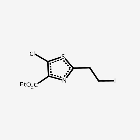 CCOC(=O)c1nc(CCI)sc1Cl